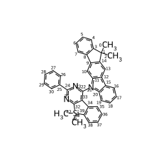 CC1(C)c2ccccc2-c2cc3c(cc21)c1ccccc1n3-c1nc(-c2ccccc2)nc2c1-c1ccccc1[Si]2(C)C